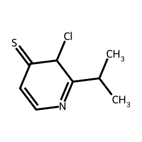 CC(C)C1=NC=CC(=S)C1Cl